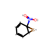 O=[N+]([O-])C12C=CC=CC1S2